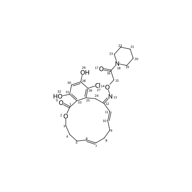 O=C1OCCC/C=C/CC/C=C/C(=N/OCC(=O)N2CCCCC2)Cc2c(Cl)c(O)cc(O)c21